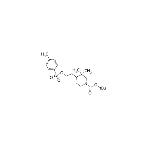 Cc1ccc(S(=O)(=O)OCCC2CCN(C(=O)OC(C)(C)C)CC2(C)C)cc1